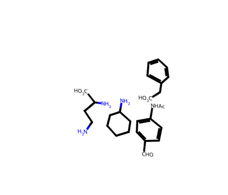 CC(=O)Nc1ccc(C=O)cc1.NC1CCCCC1.NCCC(N)C(=O)O.O=C(O)Cc1ccccc1